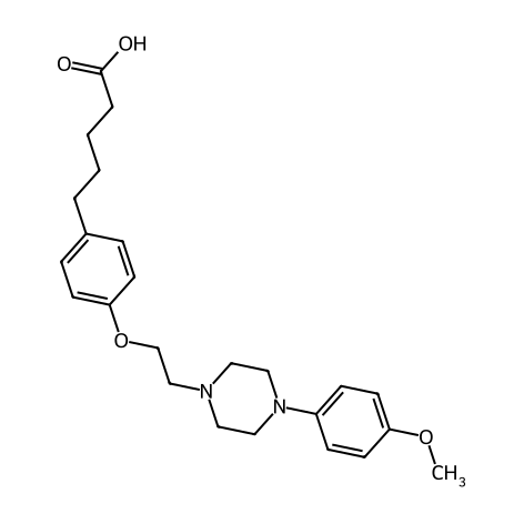 COc1ccc(N2CCN(CCOc3ccc(CCCCC(=O)O)cc3)CC2)cc1